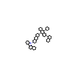 c1ccc(-c2c3ccccc3c(-c3ccc4cc5cc(-n6c7ccccc7c7ccc8ccccc8c76)ccc5cc4c3)c3ccc(-c4cccc5ccccc45)cc23)cc1